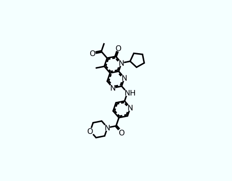 CC(=O)c1c(C)c2cnc(Nc3ccc(C(=O)N4CCOCC4)cn3)nc2n(C2CCCC2)c1=O